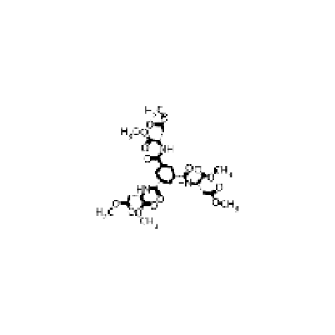 COC(=O)C[C@H](NC(=O)C1C[C@H](C(=O)N[C@@H](CC(=O)OC)C(=O)OC)C[C@H](C(=O)N[C@@H](CC(=O)OC)C(=O)OC)C1)C(=O)OC